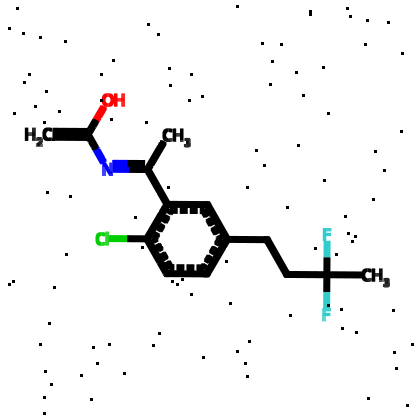 C=C(O)/N=C(\C)c1cc(CCC(C)(F)F)ccc1Cl